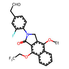 CCOc1c2c(c(OCC(F)(F)F)c3ccccc13)C(=O)N(c1ccc(CC=O)cc1F)C2